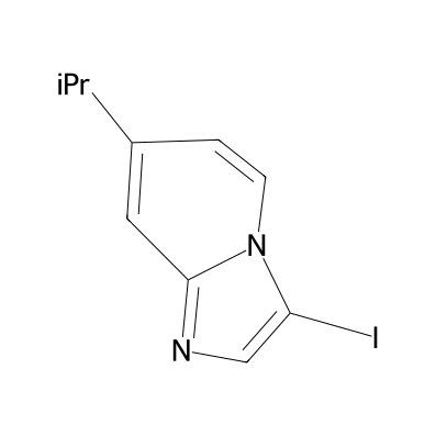 CC(C)c1ccn2c(I)cnc2c1